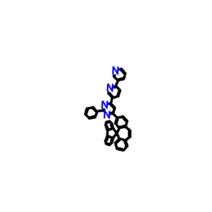 C1=Cc2ccc(-c3cc(-c4ccc(-c5cccnc5)nc4)nc(-c4ccccc4)n3)cc2C2(c3ccccc31)c1ccccc1-c1ccccc12